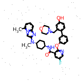 Cc1cccc2nc(N(C)[C@H]3CC[C@H](NC(=O)c4cc(F)cnc4Oc4cccc(-c5ccc(O)cc5CN5CCOCC5)c4)CC3)cn12